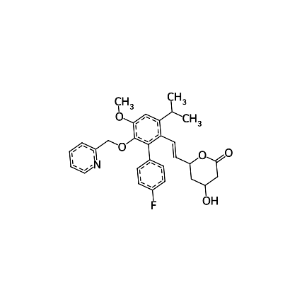 COc1cc(C(C)C)c(C=CC2CC(O)CC(=O)O2)c(-c2ccc(F)cc2)c1OCc1ccccn1